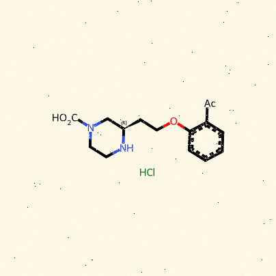 CC(=O)c1ccccc1OCC[C@@H]1CN(C(=O)O)CCN1.Cl